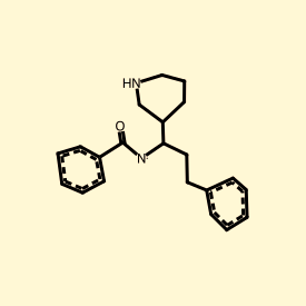 O=C([N]C(CCc1ccccc1)C1CCCNC1)c1ccccc1